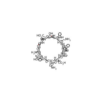 CCCC[C@H]1C(=O)N(C)[C@@H](CCCC)C(=O)N[C@@H](CCC(=O)O)C(O)N[C@H](C(=O)NCC(N)=O)CSCC(=O)N[C@@H](Cc2ccc(O)cc2)C(=O)N(C)[C@@H](C)C(=O)N[C@@H](CCN)C(=O)N2CCC[C@H]2C(=O)N[C@@H](CO)C(=O)N[C@@H](CCC(=O)O)C(=O)N2C[C@H](O)C[C@H]2C(=O)N[C@@H](Cc2c[nH]c3ccccc23)C(=O)N[C@@H](CCCCN)C(=O)N[C@@H](Cc2c[nH]c3ccccc23)C(=O)N1C